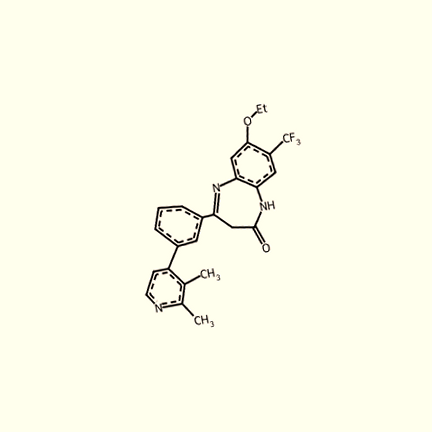 CCOc1cc2c(cc1C(F)(F)F)NC(=O)CC(c1cccc(-c3ccnc(C)c3C)c1)=N2